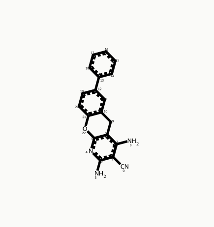 N#Cc1c(N)nc2c(c1N)Cc1cc(-c3ccccc3)ccc1O2